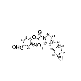 O=Cc1ccc(OCC(=O)N2CCN(Cc3ccc(Cl)cc3)CC2)c([N+](=O)[O-])c1